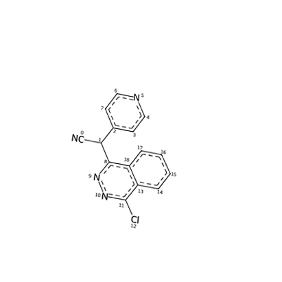 N#CC(c1ccncc1)c1nnc(Cl)c2ccccc12